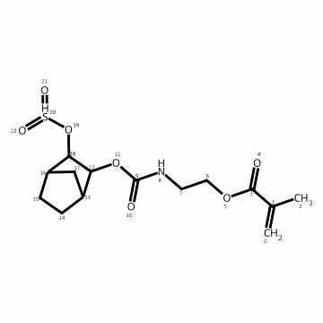 C=C(C)C(=O)OCCNC(=O)OC1C2CCC(C2)C1O[SH](=O)=O